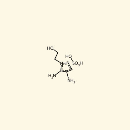 Nc1cnn(CCO)c1N.O=S(=O)(O)O